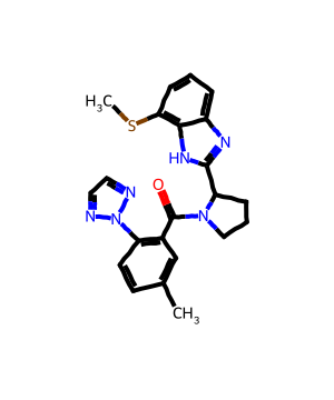 CSc1cccc2nc(C3CCCN3C(=O)c3cc(C)ccc3-n3nccn3)[nH]c12